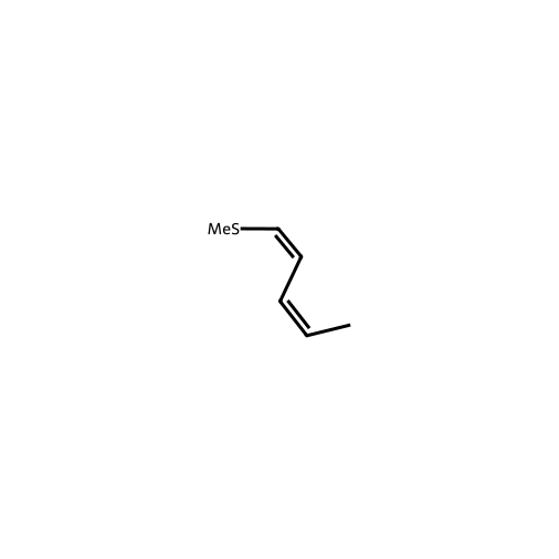 C/C=C\C=C/SC